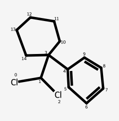 ClC(Cl)C1(c2ccccc2)CCCCC1